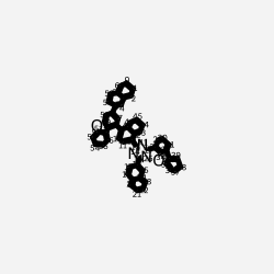 c1ccc2cc(-c3cc(-c4ccc(-c5nc(-c6ccc7ccccc7c6)nc(-c6cccc7c6oc6ccccc67)n5)c5ccccc45)c4c(c3)oc3ccccc34)ccc2c1